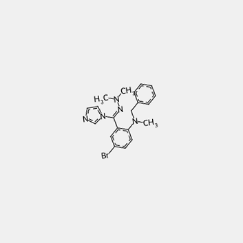 CN(C)N=C(c1cc(Br)ccc1N(C)Cc1ccccc1)n1ccnc1